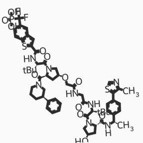 Cc1ncsc1-c1ccc([C@H](C)NC(=O)[C@@H]2C[C@@H](O)CN2C(=O)[C@@H](NC(=O)CNC(=O)CO[C@H]2C[C@@H](C(=O)N3CCC[C@H](c4ccccc4)C3)N(C(=O)[C@@H](NC(=O)c3cc4cc(C(F)(F)P(=O)(O)O)ccc4s3)C(C)(C)C)C2)C(C)(C)C)cc1